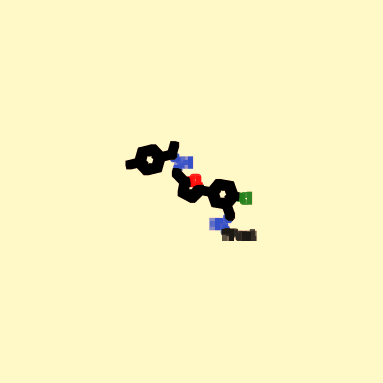 CCCCCNCc1cc(-c2ccc(CNC(C)c3ccc(C)cc3)o2)ccc1Cl